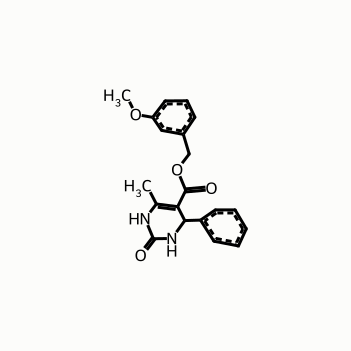 COc1cccc(COC(=O)C2=C(C)NC(=O)NC2c2ccccc2)c1